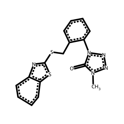 Cn1nnn(-c2ccccc2CSc2nc3ccccc3s2)c1=O